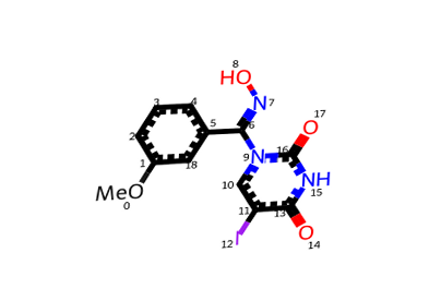 COc1cccc(/C(=N\O)n2cc(I)c(=O)[nH]c2=O)c1